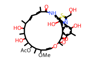 COC1/C=C\OC2(C)Oc3c(C)c(O)c4c(O)c(c5sc(CO)nc5c4c3C2=O)NC(=O)/C(C)=C/C=C/C(C)C(O)C(C)C(O)C(C)C(OC(C)=O)C1C